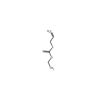 C=CCSC(=S)OCC